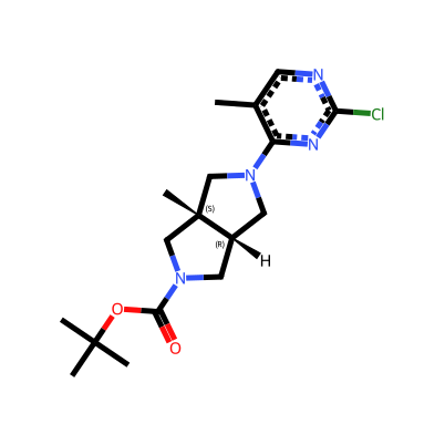 Cc1cnc(Cl)nc1N1C[C@@H]2CN(C(=O)OC(C)(C)C)C[C@]2(C)C1